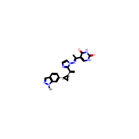 C=C(c1nccn1/N=C(\C)c1c[nH]c(=O)[nH]c1=O)[C@H]1C[C@@H]1c1ccc2cnn(C(C)C)c2c1